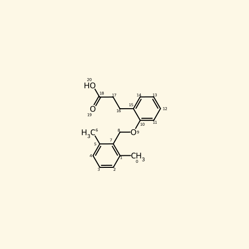 Cc1cccc(C)c1COc1ccccc1CCC(=O)O